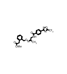 COC(=O)Cc1ccccc1CON=C(C)CNC(=O)c1ccc(-c2noc(C(F)(F)F)n2)cc1